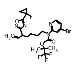 C=CC(CCCCN(C(=O)OC(C)(C)C(F)(F)F)c1cc(Br)ccn1)c1noc(C2(F)CC2)n1